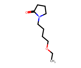 CCOCCCCN1CCCC1=O